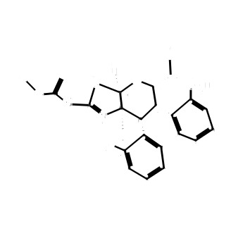 CC(C)(C)OC(=O)NC1=N[C@@H]2[C@@H](c3ccccc3C(=O)O)[C@@H](c3ccccc3C(=O)O)[C@@H](CF)O[C@@H]2S1